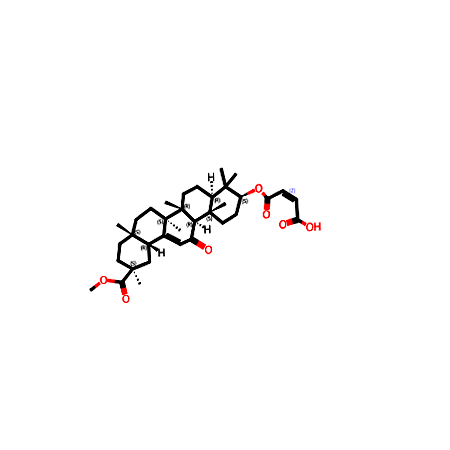 COC(=O)[C@@]1(C)CC[C@]2(C)CC[C@]3(C)C(=CC(=O)[C@@H]4[C@@]5(C)CC[C@H](OC(=O)/C=C\C(=O)O)C(C)(C)[C@@H]5CC[C@]43C)[C@@H]2C1